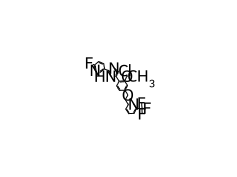 COc1cc(OCc2cccc(C(F)(F)F)n2)ccc1-c1[nH]c(-c2ccc(F)nc2)nc1Cl